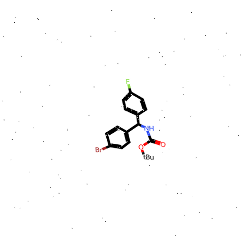 CC(C)(C)OC(=O)NC(c1ccc(F)cc1)c1ccc(Br)cc1